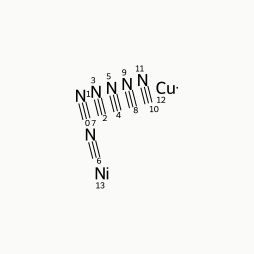 C#N.C#N.C#N.C#N.C#N.C#N.[Cu].[Ni]